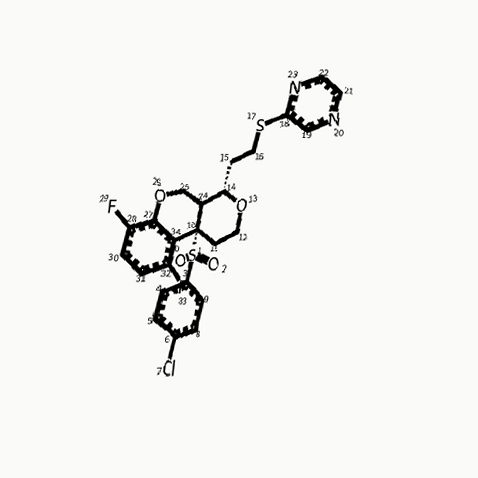 O=S(=O)(c1ccc(Cl)cc1)[C@@]12CCO[C@@H](CCSc3cnccn3)C1COc1c(F)ccc(F)c12